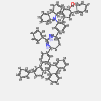 C1=CC/C(c2ccc(-c3cc(-c4ccccc4)ccc3-c3cc4ccccc4c4ccccc34)cc2)=N\C(c2ccccc2)=N/C=1c1ccc(-c2ccc3oc4ccccc4c3c2)c(-n2c3ccccc3c3ccccc32)c1